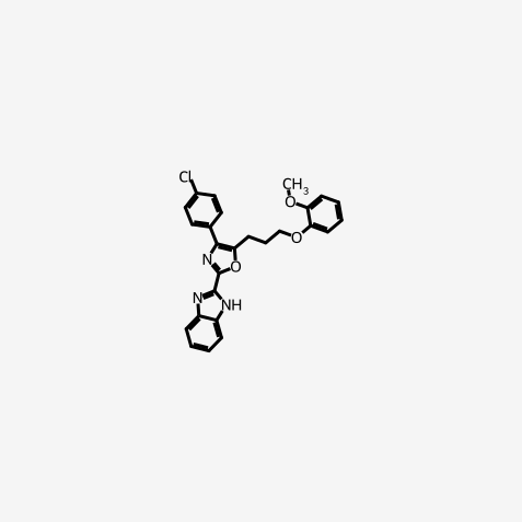 COc1ccccc1OCCCc1oc(-c2nc3ccccc3[nH]2)nc1-c1ccc(Cl)cc1